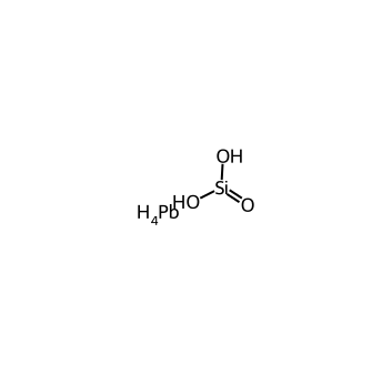 O=[Si](O)O.[PbH4]